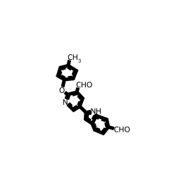 Cc1ccc(Oc2ncc(-c3cc4ccc(C=O)cc4[nH]3)cc2C=O)cc1